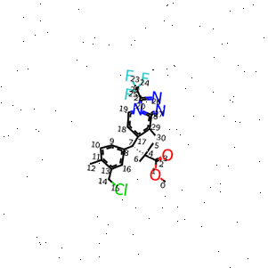 COC(=O)C(C)(C)[C@H](c1ccc(C)c(CCl)c1)c1ccn2c(C(F)(F)F)nnc2c1C